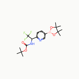 CC(C)(C)OC(=O)NC(c1ccc(B2OC(C)(C)C(C)(C)O2)cn1)C(F)(F)F